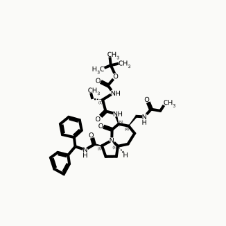 CCC(=O)NC[C@H]1CC[C@H]2CC[C@@H](C(=O)NC(c3ccccc3)c3ccccc3)N2C(=O)[C@H]1NC(=O)[C@H](CC)NC(=O)OC(C)(C)C